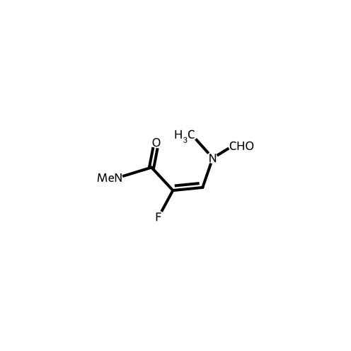 CNC(=O)/C(F)=C\N(C)C=O